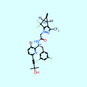 C=C1[C@@H]2c3c(C(F)(F)F)nn(CC(=O)N[C@@H](Cc4cc(F)cc(F)c4)c4nc(C#CC(C)(C)O)ccc4Br)c3C(F)(F)[C@H]12